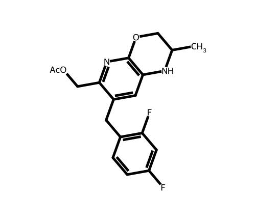 CC(=O)OCc1nc2c(cc1Cc1ccc(F)cc1F)NC(C)CO2